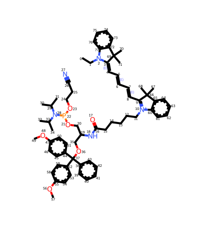 CCN1/C(=C/C=C/C=C/C2=[N+](CCCCCC(=O)NC(COP(OCCC#N)N(C(C)C)C(C)C)COC(c3ccccc3)(c3ccc(OC)cc3)c3ccc(OC)cc3)c3ccccc3C2(C)C)C(C)(C)c2ccccc21